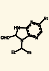 CCc1cnc2c(n1)NC(C=O)N2C(CC)CC